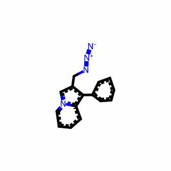 [N-]=[N+]=NCc1cn2ccccc2c1-c1ccccc1